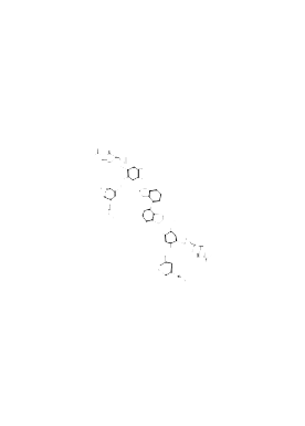 CC(C)OC(=O)[C@](C)(CO)NCc1cc(Cl)c(O[C@H]2CCc3c(-c4cccc5c4CC[C@@H]5Oc4cc(OCc5cncc(C#N)c5)c(CN[C@@](C)(CO)C(=O)OC(C)C)cc4Cl)cccc32)cc1OCc1cncc(C#N)c1